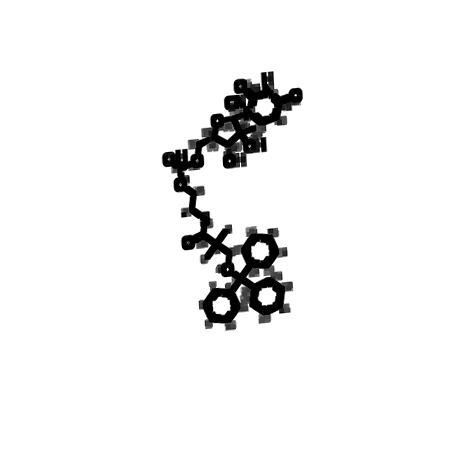 CC(C)(COC(c1ccccc1)(c1ccccc1)c1ccccc1)C(=O)SCCO[PH](=O)OC[C@H]1O[C@@](C#N)(n2ccc(=O)[nH]c2=O)[C@](C)(O)[C@@H]1O